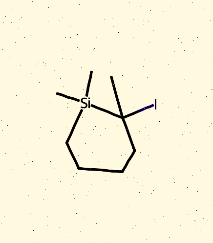 CC1(I)CCCC[Si]1(C)C